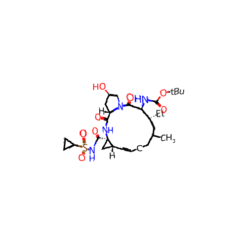 CC[C@@H]1CC(C)CC/C=C\[C@@H]2C[C@@]2(C(=O)NS(=O)(=O)C2CC2)NC(=O)[C@@H]2C[C@@H](O)CN2C(=O)[C@H]1NC(=O)OC(C)(C)C